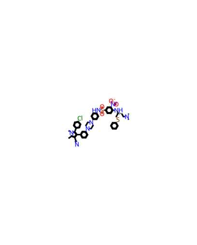 Cc1c(C#N)c(-c2cccc(N3CCN(c4ccc(NS(=O)(=O)c5ccc(N[C@H](CCN(C)C)CSc6ccccc6)c([N+](=O)[O-])c5)cc4)CC3)c2)c(-c2ccc(Cl)cc2)n1C